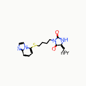 CCC/C=C1/NC(=O)N(CCCCSc2cccc3nccn23)C1=O